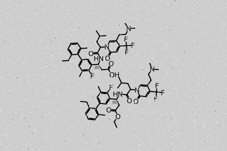 CCOC(=O)C[C@H](NC(=O)C(CC(C)C)n1cc(CCN(C)C)c(C(F)(F)F)cc1=O)c1cc(-c2c(C)cccc2CC)cc(C)c1F.CCc1cccc(C)c1-c1cc(C)c(F)c([C@H](CC(=O)O)NC(=O)C(CC(C)C)n2cc(CCN(C)C)c(C(F)(F)F)cc2=O)c1